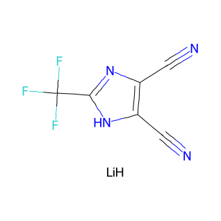 N#Cc1nc(C(F)(F)F)[nH]c1C#N.[LiH]